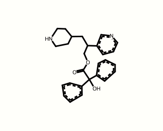 O=C(OCC(CC1CCNCC1)c1cccnc1)C(O)(c1ccccc1)c1ccccc1